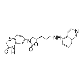 O=C1CSc2ccc(N3C[C@@H](CCCNCc4cccc5cnccc45)OC3=O)cc2N1